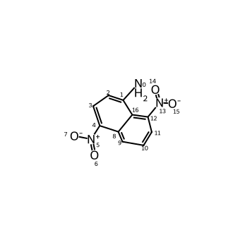 Nc1ccc([N+](=O)[O-])c2cccc([N+](=O)[O-])c12